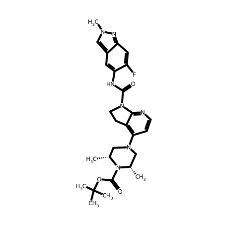 C[C@@H]1CN(c2ccnc3c2CCN3C(=O)Nc2cc3cn(C)nc3cc2F)C[C@H](C)N1C(=O)OC(C)(C)C